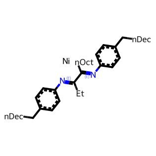 CCCCCCCCCCCc1ccc(/N=C(CC)/C(CCCCCCCC)=N/c2ccc(CCCCCCCCCCC)cc2)cc1.[Ni]